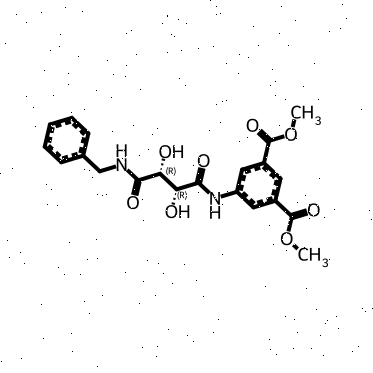 COC(=O)c1cc(NC(=O)[C@H](O)[C@@H](O)C(=O)NCc2ccccc2)cc(C(=O)OC)c1